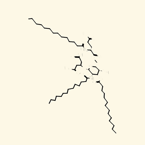 CCCCCCCCCCCCCC(=O)N[C@H]1[C@@H](OC(CC(=O)O)CC(=O)O)O[C@H](COC(=O)[C@H](CCC(=O)O)NC(=O)CCCCCCCCCCCCC)[C@@H](O)[C@@H]1OC(=O)CCCCCCCCCCCCC